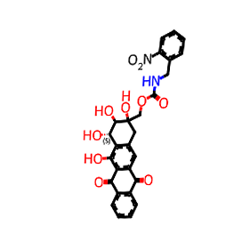 O=C(NCc1ccccc1[N+](=O)[O-])OCC1(O)Cc2cc3c(c(O)c2[C@H](O)C1O)C(=O)c1ccccc1C3=O